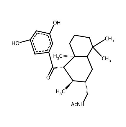 CC(=O)NC[C@H]1CC2C(C)(C)CCC[C@]2(C)[C@@H](C(=O)c2cc(O)cc(O)c2)[C@@H]1C